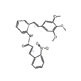 COc1cc(/C=C/c2ccccc2NC(=O)/C=C/c2ccccc2[N+](=O)[O-])cc(OC)c1OC